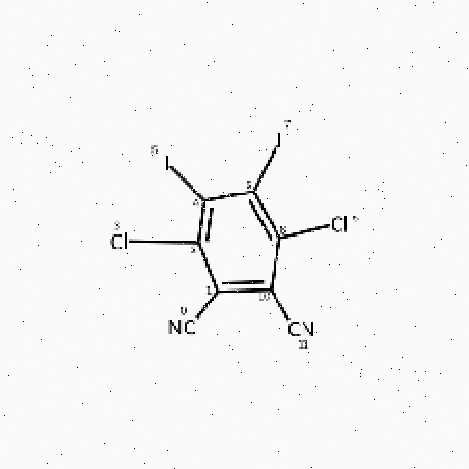 N#Cc1c(Cl)c(I)c(I)c(Cl)c1C#N